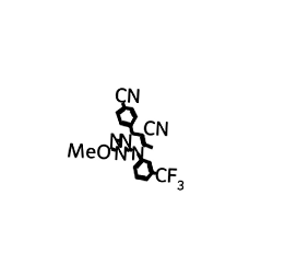 COc1nc2n(n1)C(c1ccc(C#N)cc1)C(C#N)=C(C)N2c1cccc(C(F)(F)F)c1